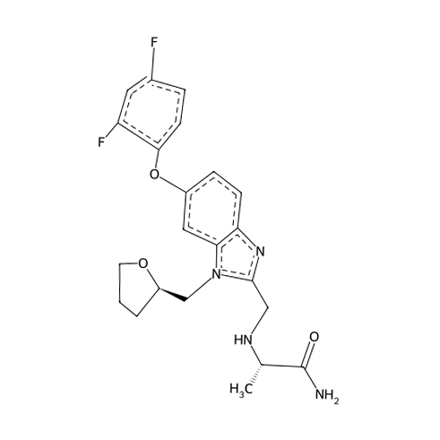 C[C@H](NCc1nc2ccc(Oc3ccc(F)cc3F)cc2n1C[C@H]1CCCO1)C(N)=O